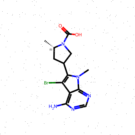 C[C@H]1CC(c2c(Br)c3c(N)ncnc3n2C)CN1C(=O)O